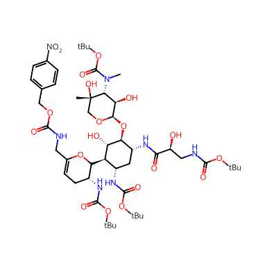 CN(C(=O)OC(C)(C)C)[C@@H]1[C@@H](O)[C@@H](O[C@@H]2[C@@H](O)[C@H](C3OC(CNC(=O)OCc4ccc([N+](=O)[O-])cc4)=CC[C@H]3NC(=O)OC(C)(C)C)[C@@H](NC(=O)OC(C)(C)C)C[C@H]2NC(=O)[C@@H](O)CNC(=O)OC(C)(C)C)OC[C@]1(C)O